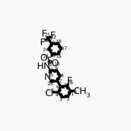 Cc1ccc(Cl)c(-c2ccc(NS(=O)(=O)c3cccc(C(F)(F)F)c3)nc2)c1F